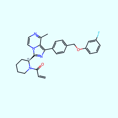 C=CC(=O)N1CCCC[C@H]1c1nc(-c2ccc(COc3cccc(F)c3)cc2)c2c(C)nccn12